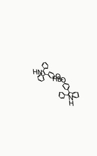 B(Oc1ccc(-c2c(-c3ccccc3)[nH]c3ccccc23)cc1)Oc1ccc(-c2c(-c3ccccc3)[nH]c3ccccc23)cc1